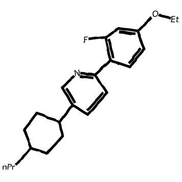 CCCC1CCC(c2ccc(-c3ccc(OCC)cc3F)nc2)CC1